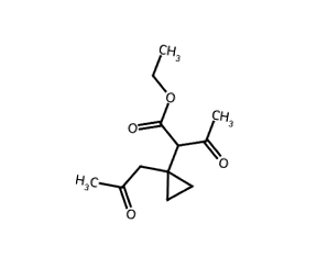 CCOC(=O)C(C(C)=O)C1(CC(C)=O)CC1